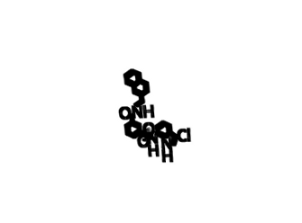 O=C(NCCc1ccc2ccccc2c1)c1cccc(S(=O)(=O)Nc2cccc3c(Cl)c[nH]c23)c1